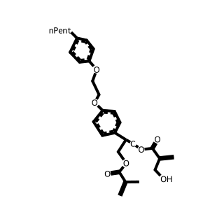 C=C(C)C(=O)OCC(COC(=O)C(=C)CO)c1ccc(OCCOc2ccc(CCCCC)cc2)cc1